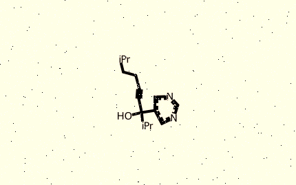 CC(C)CCC#CC(O)(c1cncnc1)C(C)C